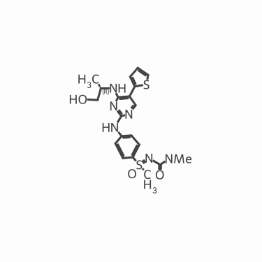 CNC(=O)N=S(C)(=O)c1ccc(Nc2ncc(-c3cccs3)c(N[C@H](C)CO)n2)cc1